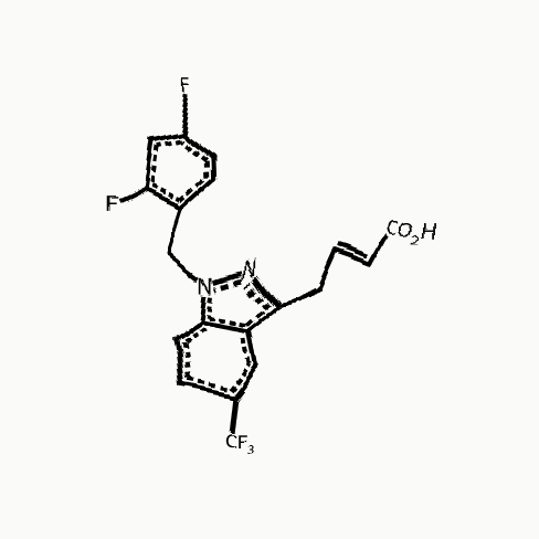 O=C(O)C=CCc1nn(Cc2ccc(F)cc2F)c2ccc(C(F)(F)F)cc12